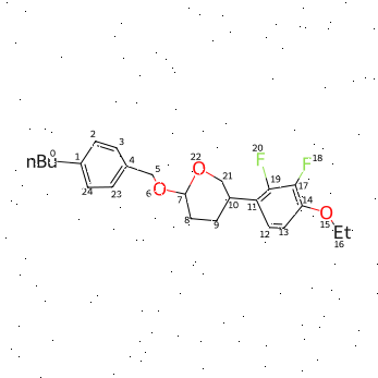 CCCCc1ccc(COC2CCC(c3ccc(OCC)c(F)c3F)CO2)cc1